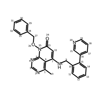 Cc1ncnc2c1c(NCc1ccccc1-c1cccnc1)cc(=O)n2OCc1ccccc1